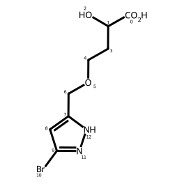 O=C(O)C(O)CCOCc1cc(Br)n[nH]1